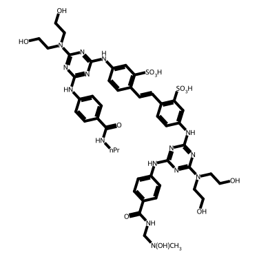 CCCNC(=O)c1ccc(Nc2nc(Nc3ccc(/C=C/c4ccc(Nc5nc(Nc6ccc(C(=O)NCN(C)O)cc6)nc(N(CCO)CCO)n5)cc4S(=O)(=O)O)c(S(=O)(=O)O)c3)nc(N(CCO)CCO)n2)cc1